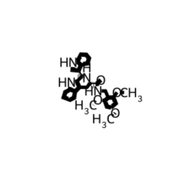 COc1cc(OC)c(CNC(=O)[C@H]2Cc3c([nH]c4ccccc34)[C@@H](c3c[nH]c4ccccc34)N2)c(OC)c1